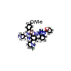 COc1ccc(Cn2c(-c3ccncc3)nc3c(-c4cccc(F)n4)cc(-c4cccc5c4cnn5C4CCCCO4)c(N)c3c2=O)cc1